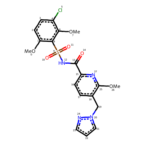 COc1ccc(Cl)c(OC)c1S(=O)(=O)NC(=O)c1ccc(Cn2cccn2)c(OC)n1